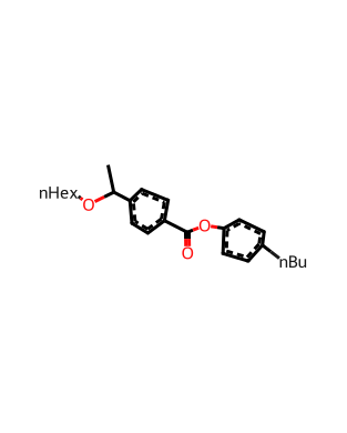 CCCCCCOC(C)c1ccc(C(=O)Oc2ccc(CCCC)cc2)cc1